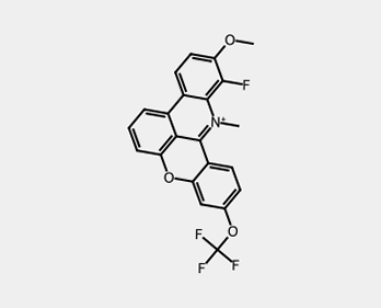 COc1ccc2c3cccc4c3c([n+](C)c2c1F)-c1ccc(OC(F)(F)F)cc1O4